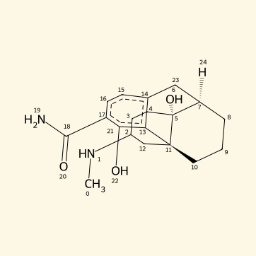 CNC1CC[C@@]2(O)[C@@H]3CCC[C@@]2(C1)c1c(ccc(C(N)=O)c1O)C3